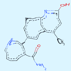 Cc1cc(O)nc2ccc(-c3ncccc3C(N)=O)cc12